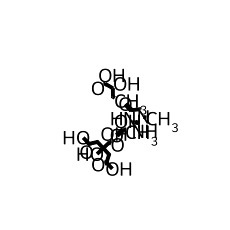 CC(=O)O.CCC(O)C(=O)O.CN1CC(=O)NC1=N.O=C(O)CC(O)(CC(=O)O)C(=O)O